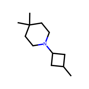 CC1CC(N2CCC(C)(C)CC2)C1